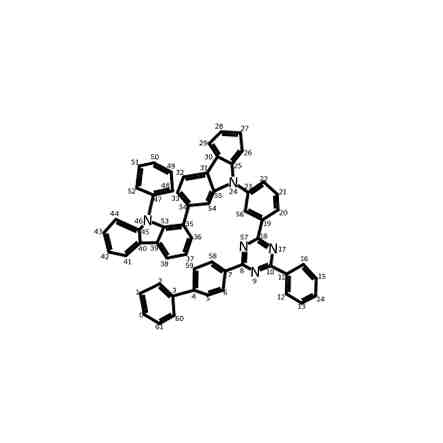 c1ccc(-c2ccc(-c3nc(-c4ccccc4)nc(-c4cccc(-n5c6ccccc6c6ccc(-c7cccc8c9ccccc9n(-c9ccccc9)c78)cc65)c4)n3)cc2)cc1